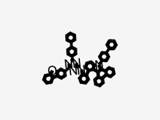 c1ccc(-c2ccc(-c3nc(-c4ccc5c(c4)oc4ccccc45)nc(-n4c5ccccc5c5c6c7c8ccccc8c8ccccc8c7n(-c7ccc(-c8ccccc8)cc7)c6ccc54)n3)cc2)cc1